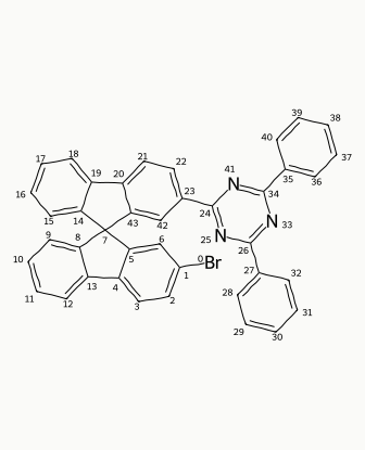 Brc1ccc2c(c1)C1(c3ccccc3-2)c2ccccc2-c2ccc(-c3nc(-c4ccccc4)nc(-c4ccccc4)n3)cc21